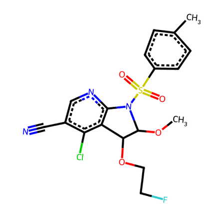 COC1C(OCCF)c2c(ncc(C#N)c2Cl)N1S(=O)(=O)c1ccc(C)cc1